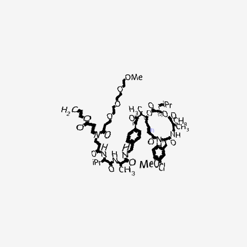 C=CCOC(=O)CCN(CCC(=O)NC(C(=O)NC(C)C(=O)NCc1ccc([C@H]2O[C@H]2C(C)[C@@H]2C/C=C/C(=O)N[C@H](Cc3ccc(OC)c(Cl)c3)C(=O)NCC(C)(C)C(=O)O[C@@H](CC(C)C)C(=O)O2)cc1)C(C)C)C(=O)CCOCCOCCOCCOC